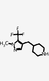 Cn1ncc(CC2CCNCC2)c1C(F)(F)F